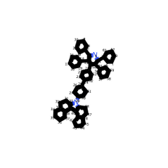 c1ccc(-c2nc(-c3ccccc3)c(-c3ccccc3)c(-c3ccc(-c4ccc(-n5c6ccc7ccccc7c6c6c7ccccc7ccc65)cc4)cc3)c2-c2ccccc2)cc1